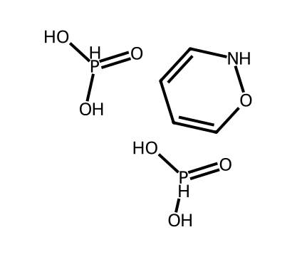 C1=CNOC=C1.O=[PH](O)O.O=[PH](O)O